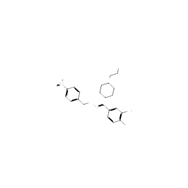 Cc1ccc(C(=NOCc2ccc([N+](=O)[O-])cc2)[C@H]2CC[C@H](CCO)CC2)cc1O